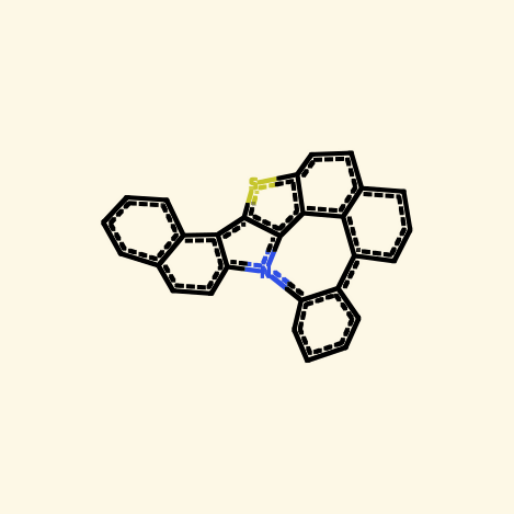 c1ccc2c(c1)ccc1c2c2sc3ccc4cccc5c6ccccc6n1c2c3c45